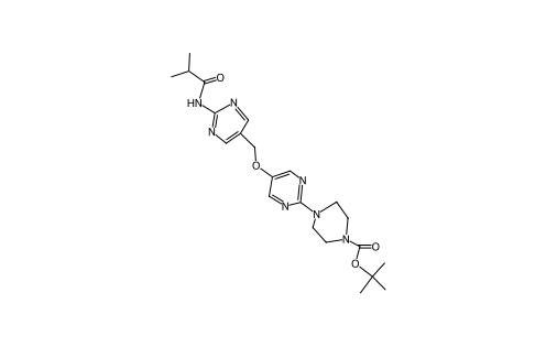 CC(C)C(=O)Nc1ncc(COc2cnc(N3CCN(C(=O)OC(C)(C)C)CC3)nc2)cn1